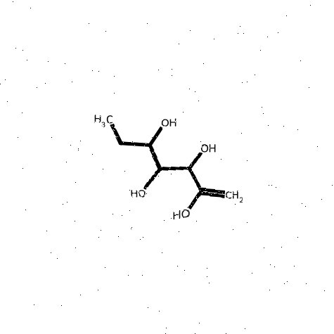 C=C(O)C(O)C(O)C(O)CC